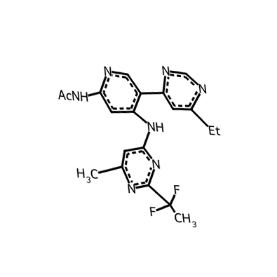 CCc1cc(-c2cnc(NC(C)=O)cc2Nc2cc(C)nc(C(C)(F)F)n2)ncn1